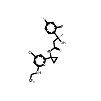 C[C@](O)(CC(=O)NC1(c2cc(Cl)cc(NCC(F)(F)F)n2)CC1)c1ccc(F)cc1F